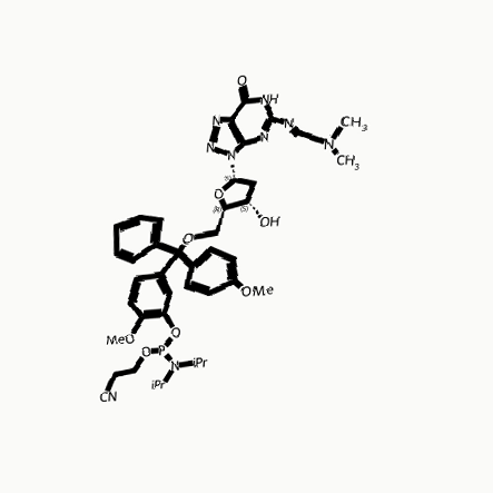 COc1ccc(C(OC[C@H]2O[C@H](n3nnc4c(=O)[nH]c(N=CN(C)C)nc43)C[C@@H]2O)(c2ccccc2)c2ccc(OC)c(OP(OCCC#N)N(C(C)C)C(C)C)c2)cc1